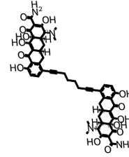 CN(C)[C@@H]1C(O)=C(C(N)=O)C(=O)[C@@]2(O)C(O)=C3C(=O)c4c(O)ccc(C#CCCCCC#Cc5ccc(O)c6c5C[C@H]5C[C@H]7[C@@H](N(C)C)C(O)=C(C(N)=O)C(=O)[C@@]7(O)C(O)=C5C6=O)c4C[C@H]3C[C@@H]12